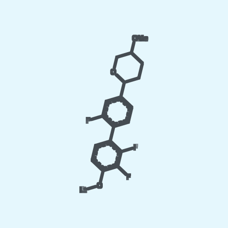 CCOc1ccc(-c2ccc(C3CCC(OC)CO3)cc2F)c(F)c1F